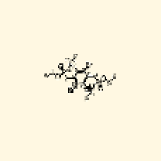 CCOP(=O)(Cc1c(Br)c(Br)c(CP(=O)(OCC)OCC)c(Br)c1Br)OCC